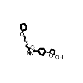 O[C@H]1CC[C@H](c2ccc(-c3nnc(CSCCOc4ccccc4)o3)cc2)O1